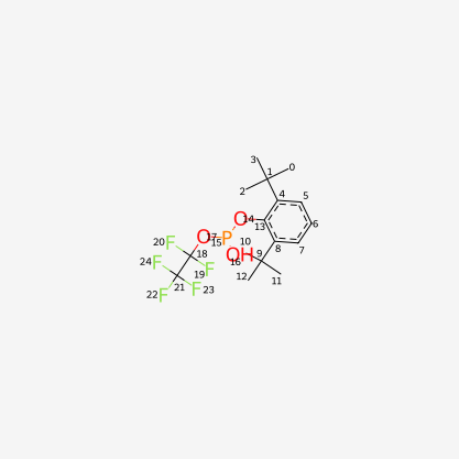 CC(C)(C)c1cccc(C(C)(C)C)c1OP(O)OC(F)(F)C(F)(F)F